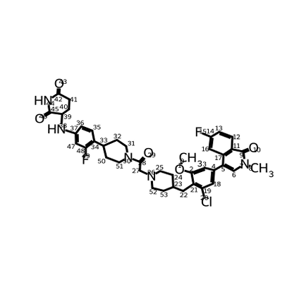 COc1cc(-c2cn(C)c(=O)c3ccc(F)cc23)cc(Cl)c1CC1CCN(CC(=O)N2CCC(c3ccc(NC4CCC(=O)NC4=O)cc3F)CC2)CC1